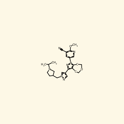 COc1ncc(-n2nc(-c3cnn(CC4CCN(C(C)C)C4)c3)c3c2CCOCC3)cc1C#N